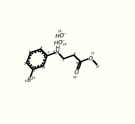 [B+2]c1cccc(NCCC(=O)OC)c1.[OH-].[OH-]